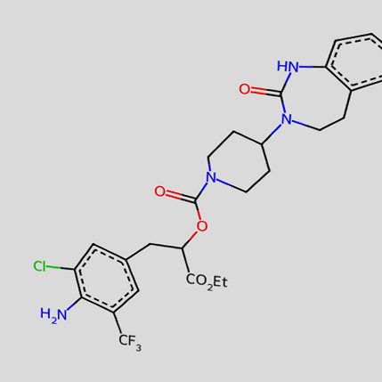 CCOC(=O)C(Cc1cc(Cl)c(N)c(C(F)(F)F)c1)OC(=O)N1CCC(N2CCc3ccccc3NC2=O)CC1